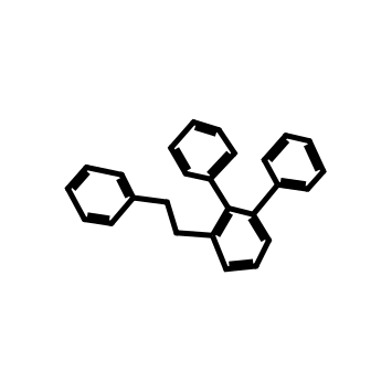 c1ccc(CCc2cccc(-c3ccccc3)c2-c2ccccc2)cc1